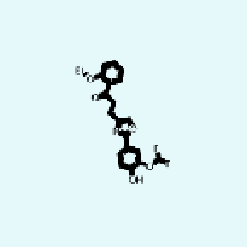 CCOc1ccccc1C(=O)CCc1coc(-c2ccc(O)c(OC(F)F)c2)n1